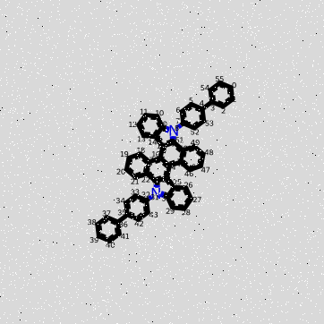 c1ccc(-c2ccc(-n3c4ccccc4c4c5c6ccccc6c6c(c7ccccc7n6-c6ccc(-c7ccccc7)cc6)c5c5ccccc5c43)cc2)cc1